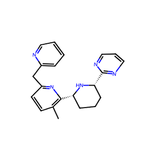 Cc1ccc(Cc2ccccn2)nc1[C@H]1CCC[C@@H](c2ncccn2)N1